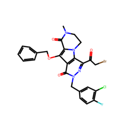 CN1CCn2c(c(OCc3ccccc3)c3c(=O)n(Cc4ccc(F)c(Cl)c4)nc(C(=O)CBr)c32)C1=O